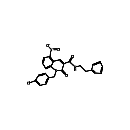 O=C(NCCc1ccccc1)c1cc2c([N+](=O)[O-])cccc2n(Cc2ccc(Cl)cc2)c1=O